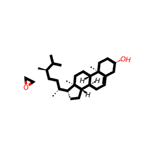 C1CO1.CC(C)[C@H](C)CC[C@@H](C)[C@H]1CC[C@H]2[C@@H]3CC=C4C[C@@H](O)CC[C@]4(C)[C@H]3CC[C@]12C